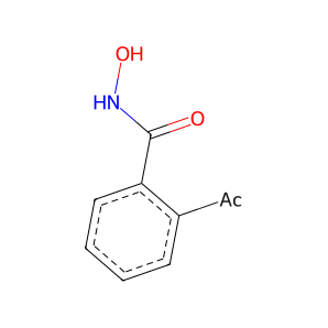 CC(=O)c1ccccc1C(=O)NO